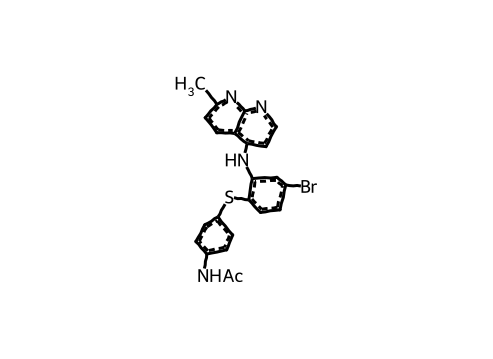 CC(=O)Nc1ccc(Sc2ccc(Br)cc2Nc2ccnc3nc(C)ccc23)cc1